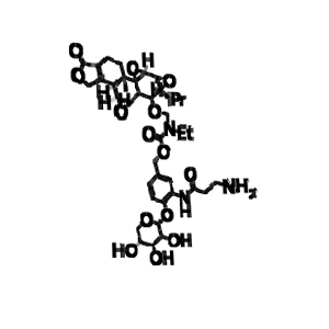 CCN(CO[C@H]1C2[C@H]3O[C@H]3[C@H]3C4=C(CC[C@]3(C)[C@@]23O[C@H]3[C@@H]2O[C@]12C(C)C)C(=O)OC4)C(=O)OCc1ccc(O[C@@H]2OC[C@@H](O)[C@H](O)C2O)c(NC(=O)CCN)c1